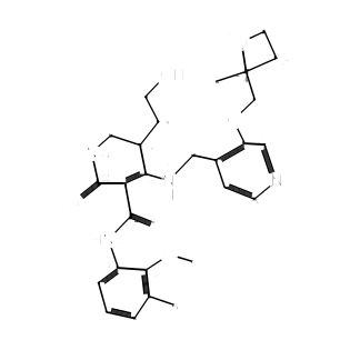 COc1c(Cl)cccc1NC(=S)C1=C(NCc2ccncc2OCC2(C)CCO2)C(CCO)CNC1=O